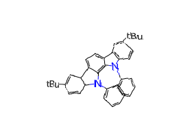 CC(C)(C)C1=CC2c3ccc4c5cc(C(C)(C)C)ccc5n(-c5ccccc5)c4c3N(c3ccccc3)C2C=C1